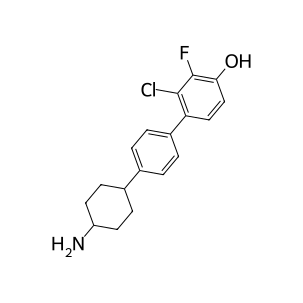 NC1CCC(c2ccc(-c3ccc(O)c(F)c3Cl)cc2)CC1